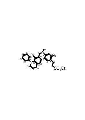 CCOC(=O)CCc1ccc(N(C)Cc2ccc3c(c2C)N(c2ccccc2)CCC3)cc1F